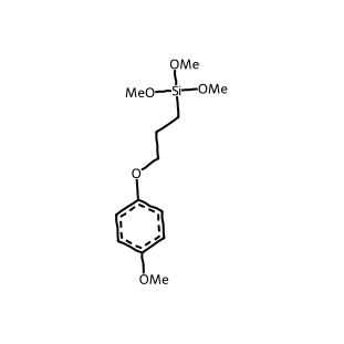 COc1ccc(OCCC[Si](OC)(OC)OC)cc1